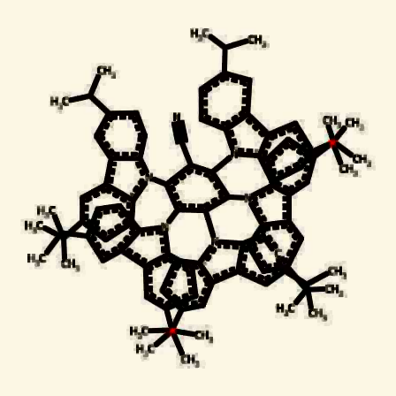 CC(C)c1ccc2c(c1)c1cc(C(C)C)ccc1n2-c1c(C#N)c(-n2c3ccc(C(C)C)cc3c3cc(C(C)C)ccc32)c(-n2c3ccc(C(C)C)cc3c3cc(C(C)C)ccc32)c(-n2c3ccc(C(C)C)cc3c3cc(C(C)C)ccc32)c1-n1c2ccc(C(C)C)cc2c2cc(C(C)C)ccc21